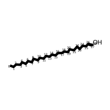 CCCCCCCCCCCCCCCCCCCCCCCCCC/C=C/O